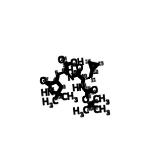 CC1(C)CC(C[C@H](NC(=O)[C@H](CC2CC2)NC(=O)OC(C)(C)C)C(=O)O)C(=O)N1